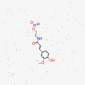 COc1cc(/C=C/C(=O)NCCO[N+](=O)[O-])ccc1O